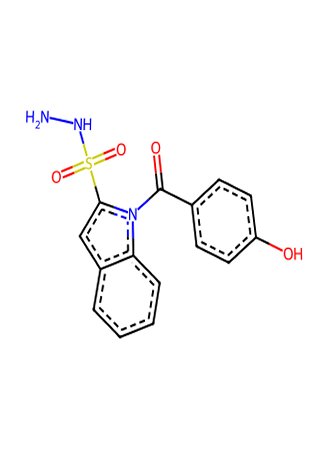 NNS(=O)(=O)c1cc2ccccc2n1C(=O)c1ccc(O)cc1